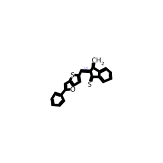 C=C1/C(=C/c2cc3oc(-c4ccccc4)cc3s2)C(=S)c2ccccc21